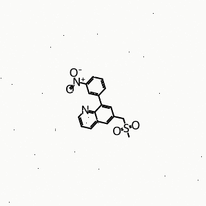 CS(=O)(=O)Cc1cc(-c2cccc([N+](=O)[O-])c2)c2ncccc2c1